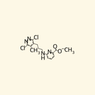 CCOC(=O)c1cccc(NCCCc2c(Cl)nnc(Cl)c2C)n1